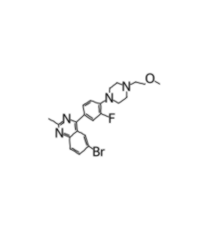 COCCN1CCN(c2ccc(-c3nc(C)nc4ccc(Br)cc34)cc2F)CC1